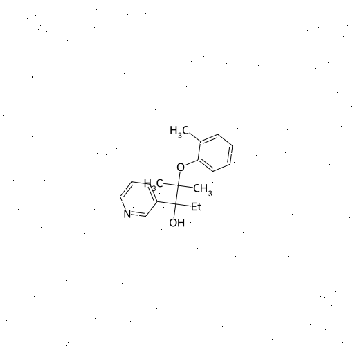 CCC(O)(c1cccnc1)C(C)(C)Oc1ccccc1C